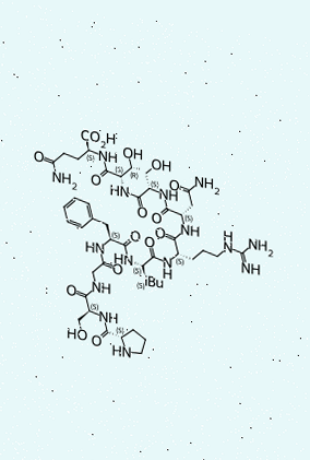 CC[C@H](C)[C@H](NC(=O)[C@H](Cc1ccccc1)NC(=O)CNC(=O)[C@H](CO)NC(=O)[C@@H]1CCCN1)C(=O)N[C@@H](CCCNC(=N)N)C(=O)N[C@@H](CC(N)=O)C(=O)N[C@@H](CO)C(=O)N[C@H](C(=O)N[C@@H](CCC(N)=O)C(=O)O)[C@@H](C)O